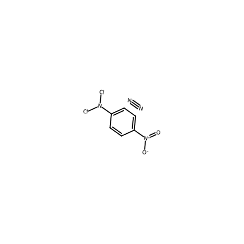 N#N.O=[N+]([O-])c1ccc(N(Cl)Cl)cc1